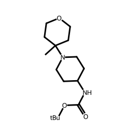 CC(C)(C)OC(=O)NC1CCN(C2(C)CCOCC2)CC1